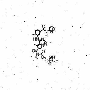 CCN(C(=O)OCOP(=O)(O)O)C(=O)c1cn2ncnc(Nc3cc(C(=O)Nc4ccon4)ccc3C)c2c1C